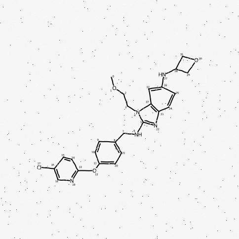 COCCn1c(NCc2ccc(Oc3ccc(Cl)cn3)cc2)nc2ccc(NC3COC3)cc21